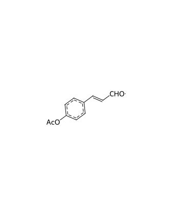 CC(=O)Oc1ccc(C=C[C]=O)cc1